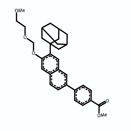 COCCOCOc1cc2ccc(-c3ccc(C(=O)OC)cc3)cc2cc1C12CC3CC(CC(C3)C1)C2